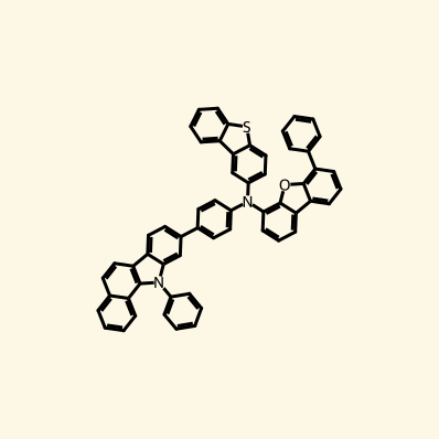 c1ccc(-c2cccc3c2oc2c(N(c4ccc(-c5ccc6c7ccc8ccccc8c7n(-c7ccccc7)c6c5)cc4)c4ccc5sc6ccccc6c5c4)cccc23)cc1